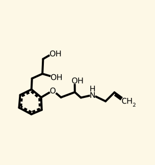 C=CCNCC(O)COc1ccccc1CC(O)CO